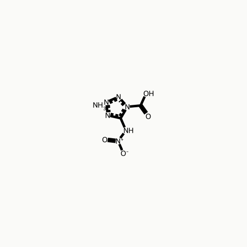 N.O=C(O)n1nnnc1N[N+](=O)[O-]